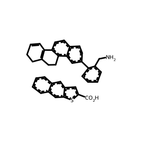 NCc1ccccc1-c1ccc2ccc3c(c2c1)CCC1=C3C=CCC1.O=C(O)c1cc2cc3ccccc3cc2s1